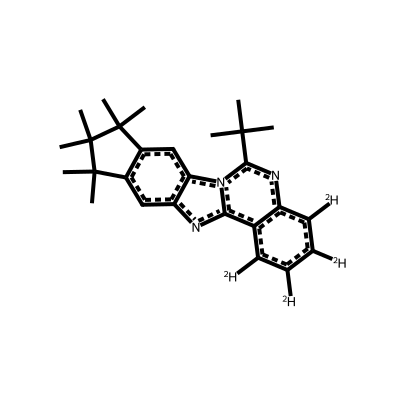 [2H]c1c([2H])c([2H])c2c(nc(C(C)(C)C)n3c4cc5c(cc4nc23)C(C)(C)C(C)(C)C5(C)C)c1[2H]